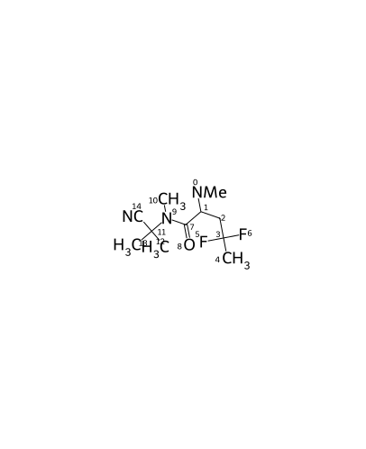 CNC(CC(C)(F)F)C(=O)N(C)C(C)(C)C#N